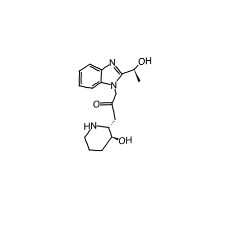 C[C@H](O)c1nc2ccccc2n1CC(=O)C[C@H]1NCCC[C@@H]1O